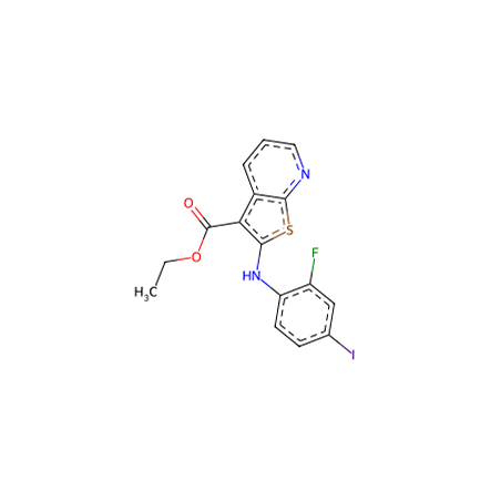 CCOC(=O)c1c(Nc2ccc(I)cc2F)sc2ncccc12